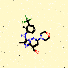 Cc1nc2c(C=O)cc(N3CCOCC3)nn2c1Nc1cccc(C(F)(F)F)c1C